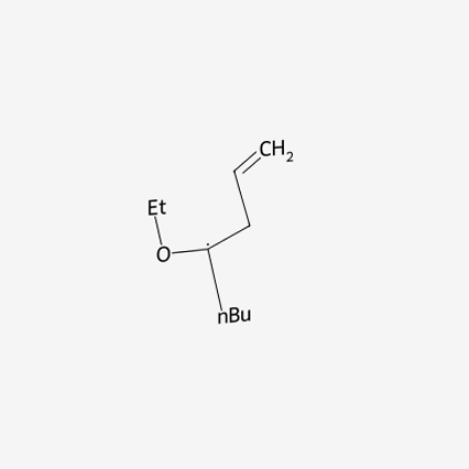 C=CC[C](CCCC)OCC